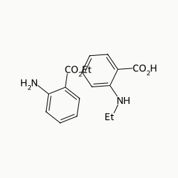 CCNc1ccccc1C(=O)O.CCOC(=O)c1ccccc1N